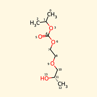 CC(C)OC(=O)OCCOC[C@H](C)O